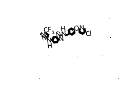 Cn1nc(Nc2ccc3nc(NCc4ccc(Oc5ccc(Cl)cn5)cc4)n(C)c3c2)cc1C(F)(F)F